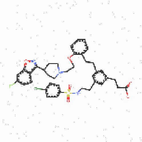 O=C(O)CCc1cc(CCNS(=O)(=O)c2ccc(Cl)cc2)cc(CCc2ccccc2OCCN2CCC(c3noc4cc(F)ccc34)CC2)c1